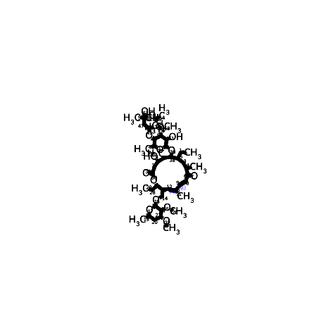 CCC1CC(C)C(=O)/C=C/C(C)=C/C(COC2OC(C)CC(OC)C2OC)C(CC)OC(=O)CC(O)C(C)C1OC1OC(C)C(OC(CC(C)(C)O)OC(C)O)C(N(C)C)C1O